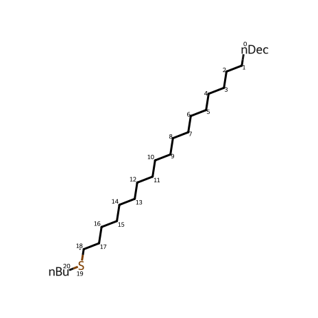 CCCCCCCCCCCCCCCCCCCCCCCCCCC[CH]SCCCC